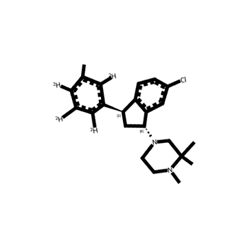 [2H]c1c([2H])c(C)c([2H])c([C@@H]2C[C@@H](N3CCN(C)C(C)(C)C3)c3cc(Cl)ccc32)c1[2H]